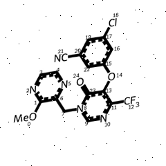 COc1nccnc1Cn1cnc(C(F)(F)F)c(Oc2cc(Cl)cc(C#N)c2)c1=O